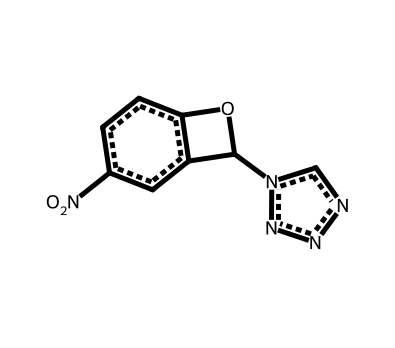 O=[N+]([O-])c1ccc2c(c1)C(n1cnnn1)O2